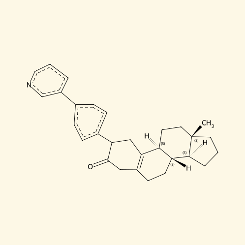 C[C@@]12CCC[C@H]1[C@@H]1CCC3=C(CC(c4ccc(-c5cccnc5)cc4)C(=O)C3)[C@H]1CC2